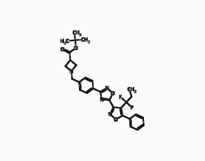 CCC(F)(F)c1c(-c2nc(-c3ccc(CN4CC(C(=O)OC(C)(C)C)C4)cc3)no2)noc1-c1ccccc1